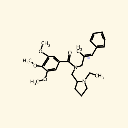 CCN1CCCC1CN(C/C(C)=C/c1ccccc1)C(=O)c1cc(OC)c(OC)c(OC)c1